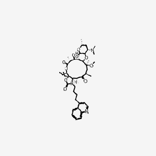 CC[C@H]1OC(=O)[C@H](C)C(=O)[C@H](C)[C@@H](O[C@H]2C(O)O[C@H](C)C[C@@H]2N(C)C)[C@@](C)(OC)C[C@@H](C)C(=O)[C@H](C)[C@H]2N(CCCCc3ccnc4ccccc34)C(=O)O[C@]12CC